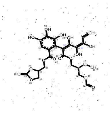 C=C/C(O)=C(O)\C(O)=C(/C(=O)OCC(COC=O)OC)c1c(C(=O)OCC2COC(=O)O2)cc(O)c(O)c1O